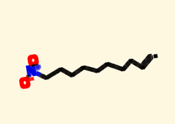 [CH]=CCCCCCCCC[N+](=O)[O-]